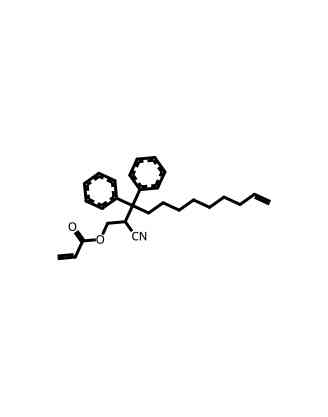 C=CCCCCCCCC(c1ccccc1)(c1ccccc1)C(C#N)COC(=O)C=C